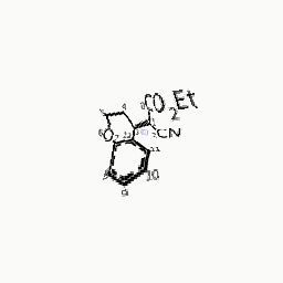 CCOC(=O)/C(C#N)=C1\CCOc2ccccc21